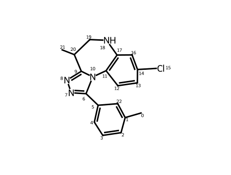 Cc1cccc(-c2nnc3n2-c2ccc(Cl)cc2NCC3C)c1